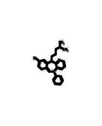 CN(C)CCCN1C2=CC(Br)=CCC2=CN(c2ccccc2)c2cccnc21